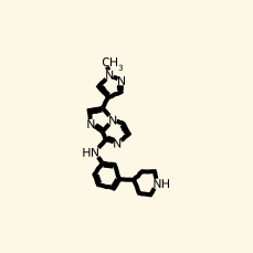 Cn1cc(-c2cnc3c(Nc4cccc(C5CCNCC5)c4)nccn23)cn1